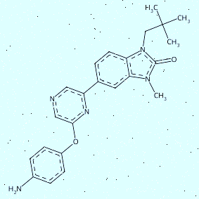 Cn1c(=O)n(CC(C)(C)C)c2ccc(-c3cncc(Oc4ccc(N)cc4)n3)cc21